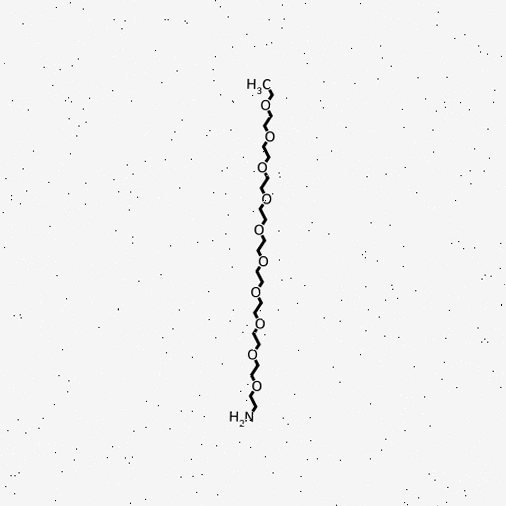 CCOCCOCCOCCOCCOCCOCCOCCOCCOCCOCCN